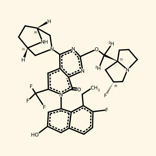 [2H]C([2H])(Oc1nc(N2C[C@H]3CC[C@@H](C2)N3)c2cc(C(F)(F)F)n(-c3cc(O)cc4ccc(F)c(CC)c34)c(=O)c2n1)[C@@]12CCCN1C[C@H](F)C2